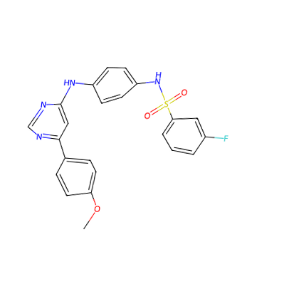 COc1ccc(-c2cc(Nc3ccc(NS(=O)(=O)c4cccc(F)c4)cc3)ncn2)cc1